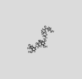 CC(C)c1ncc(C(=O)N2CCOC3(CCN(CCOc4ccc(CN(CCc5ccc(O)c6[nH]c(=O)sc56)C(=O)OC(C)(C)C)c(O)c4)CC3)C2)s1